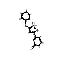 S=C1C=C(c2cc(Sc3ccccc3)[nH]n2)C=CC1